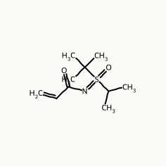 C=CC(=O)N=S(=O)(C(C)C)C(C)(C)C